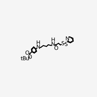 CC(C)(C)OC(=O)c1ccc(NCCCCCNC(=O)CCSSc2ccccn2)cc1